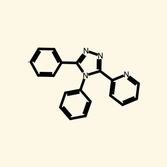 [c]1ccc(-c2nnc(-c3ccccn3)n2-c2ccccc2)cc1